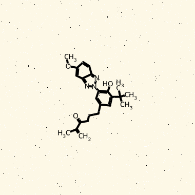 C=C(C)C(=O)CCCc1cc(-n2nc3ccc(OC)cc3n2)c(O)c(C(C)(C)C)c1